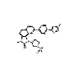 Cn1cc(-c2ccc(-c3ccc4ccc5c(c4n3)n([C@H]3CCN(S(C)(=O)=O)C3)c(=O)n5C)cn2)nn1